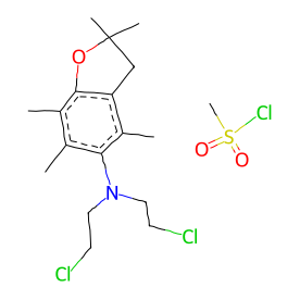 CS(=O)(=O)Cl.Cc1c(C)c(N(CCCl)CCCl)c(C)c2c1OC(C)(C)C2